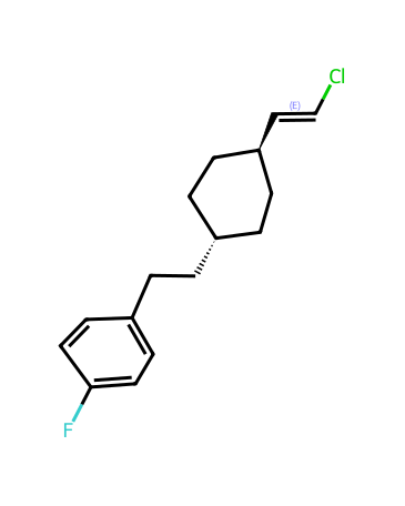 Fc1ccc(CC[C@H]2CC[C@H](/C=C/Cl)CC2)cc1